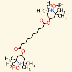 CC(C)ON1C(C)(C)CC(OC(=O)CCCCCCCCC(=O)OC2CC(C)(C)N(O)C(C)(C)C2)CC1(C)C